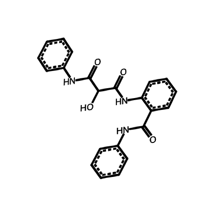 O=C(Nc1ccccc1)c1ccccc1NC(=O)C(O)C(=O)Nc1ccccc1